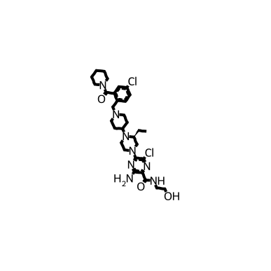 CC[C@H]1CN(c2nc(N)c(C(=O)NCCO)nc2Cl)CCN1C1CCN(Cc2ccc(Cl)cc2C(=O)N2CCCCC2)CC1